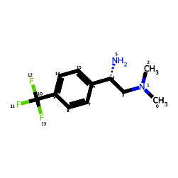 CN(C)C[C@@H](N)c1ccc(C(F)(F)F)cc1